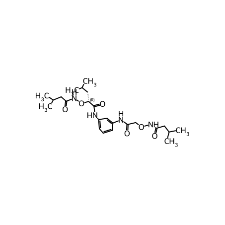 CC(C)CC(=O)NOCC(=O)Nc1cccc(NC(=O)[C@@H](CC(C)C)ONC(=O)CC(C)C)c1